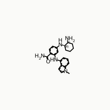 Cn1ccc2c(Nc3cc(N[C@@H]4CCCC[C@@H]4N)ccc3C(N)=O)cccc21